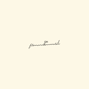 CCCCC(CC)CSCCCCCCCCCCCN(CCO)CCCCCCCCCCCSCC(CC)CCCC